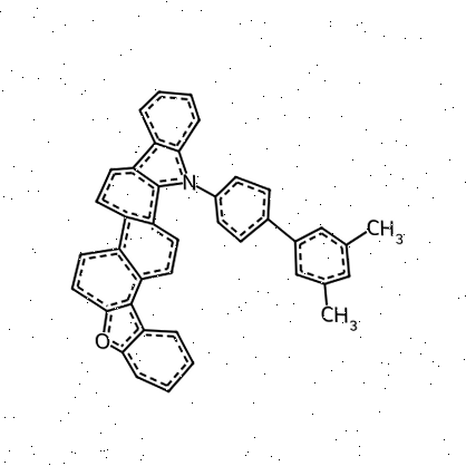 Cc1cc(C)cc(-c2ccc(-n3c4ccccc4c4ccc5c6ccc7oc8ccccc8c7c6ccc5c43)cc2)c1